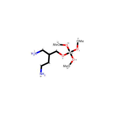 COO[Si](OCC(CN)CCN)(OOC)OOC